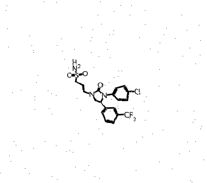 NS(=O)(=O)CCCN1C[C@H](c2cccc(C(F)(F)F)c2)N(c2ccc(Cl)cc2)C1=O